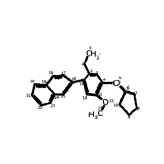 [CH2]Cc1cc(OC2CCCC2)c(OC)cc1-c1ccc2ccccc2c1